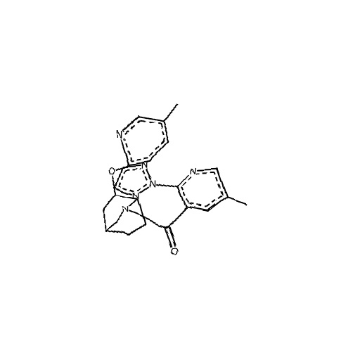 Cc1ccc(OC2CC3CCC2N(C(=O)c2cc(C)cnc2-n2nccn2)C3)nc1